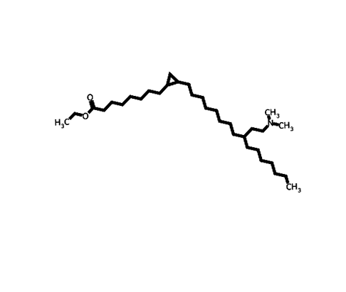 CCCCCCCC(CCCCCCCCC1CC1CCCCCCCC(=O)OCC)CCN(C)C